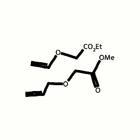 C=CCOCC(=O)OC.C=COCC(=O)OCC